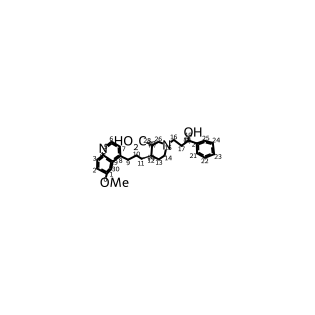 COc1ccc2nccc(CCC[C@@H]3CCN(CC[C@@H](O)c4ccccc4)C[C@@H]3C(=O)O)c2c1